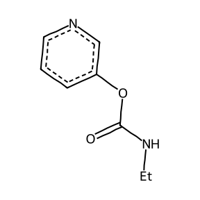 CCNC(=O)Oc1cccnc1